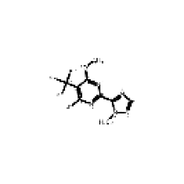 COc1nc(-c2ncnn2C)nc(F)c1C(F)(F)F